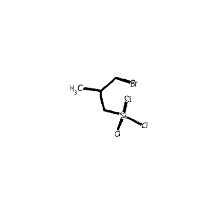 CC(CBr)C[Si](Cl)(Cl)Cl